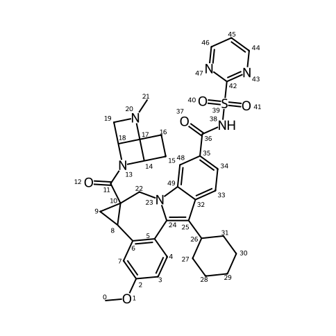 COc1ccc2c(c1)C1CC1(C(=O)N1C3CCC34C1CN4C)Cn1c-2c(C2CCCCC2)c2ccc(C(=O)NS(=O)(=O)c3ncccn3)cc21